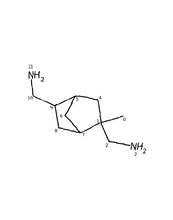 CC1(CN)CC2CC1CC2CN